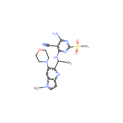 CC(Nc1nc(S(C)(=O)=O)nc(N)c1C#N)c1nc2ccn(C)c2cc1N1CCOCC1